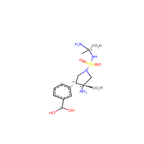 C[C@@](N)(NS(=O)(=O)N1C[C@@H](c2cccc(B(O)O)c2)[C@](N)(C(=O)O)C1)C(=O)O